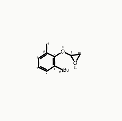 CCC(C)c1cccc(C)c1OC1CO1